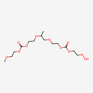 COCCOC(=O)OCCOC(C)COCCOC(=O)OCCOO